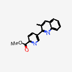 COC(=O)c1ccc(-c2nc3ccccc3cc2C)cn1